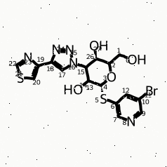 OCC1O[C@H](Sc2cncc(Br)c2)C(O)C(n2cc(-c3cscn3)nn2)[C@H]1O